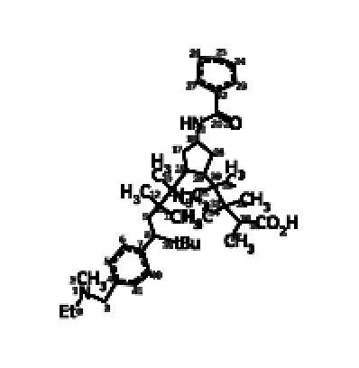 CCN(C)Cc1ccc(C(CC(C)(C)C(C)(C)C2CC(NC(=O)c3ccccc3)CC2C(C)(C)C(C)(C)C(C)C(=O)O)C(C)(C)C)cc1